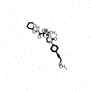 COCC#Cc1ccc(N2C[C@H](CC(C)(C(=O)NOC3CCCCO3)S(C)(=O)=O)OC2=O)cc1